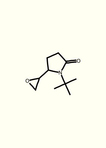 CC(C)(C)N1C(=O)CCC1C1CO1